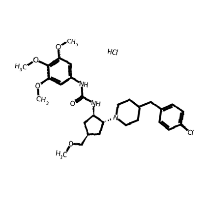 COC[C@@H]1C[C@@H](N2CCC(Cc3ccc(Cl)cc3)CC2)[C@H](NC(=O)Nc2cc(OC)c(OC)c(OC)c2)C1.Cl